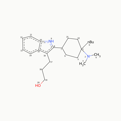 CCCCC1(N(C)C)CCC(c2[nH]c3ccccc3c2CCCO)CC1